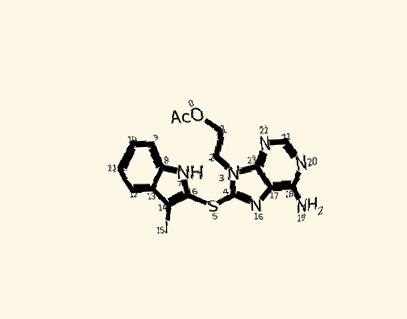 CC(=O)OCCn1c(Sc2[nH]c3ccccc3c2I)nc2c(N)ncnc21